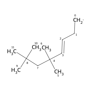 [CH2]CC=CC(C)(C)CC(C)(C)C